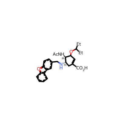 CCC(CC)OC1C=C(C(=O)O)C[C@H](NCc2ccc3oc4ccccc4c3c2)[C@H]1NC(C)=O